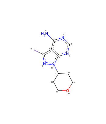 Nc1ncnc2c1c(I)nn2C1CCOCC1